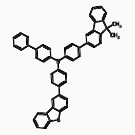 CC1(C)c2ccccc2-c2cc(-c3ccc(N(c4ccc(-c5ccccc5)cc4)c4ccc(-c5ccc6sc7ccccc7c6c5)cc4)cc3)ccc21